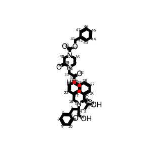 O=C(O)C[C@@](Cc1ccccc1)(C(=O)O)N(Cc1ccccc1)C(=O)c1cccc(NC(=O)CN2CCN(C(=O)OCc3ccccc3)CC2=O)c1